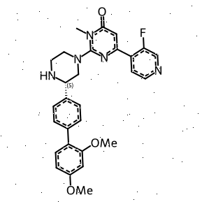 COc1ccc(-c2ccc([C@H]3CN(c4nc(-c5ccncc5F)cc(=O)n4C)CCN3)cc2)c(OC)c1